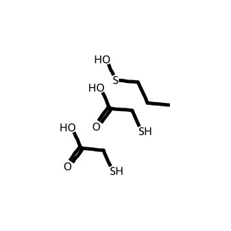 CCCSO.O=C(O)CS.O=C(O)CS